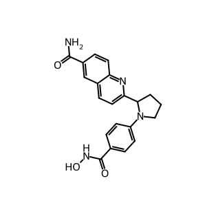 NC(=O)c1ccc2nc(C3CCCN3c3ccc(C(=O)NO)cc3)ccc2c1